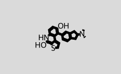 CN(C)C1Cc2ccc(-c3c(O)ccc4c3C3=CCSC3=C(O)N4)cc2C1